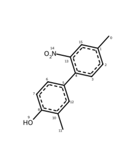 Cc1ccc(-c2ccc(O)c(C)c2)c([N+](=O)[O-])c1